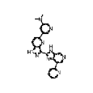 CN(C)c1cncc(-c2ccc3[nH]nc(-c4nc5c(-c6ccccn6)cncc5[nH]4)c3n2)c1